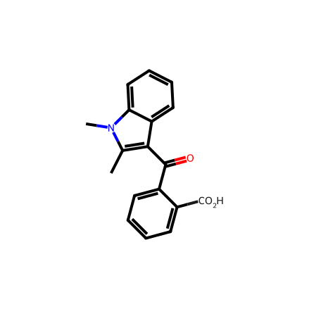 Cc1c(C(=O)c2ccccc2C(=O)O)c2ccccc2n1C